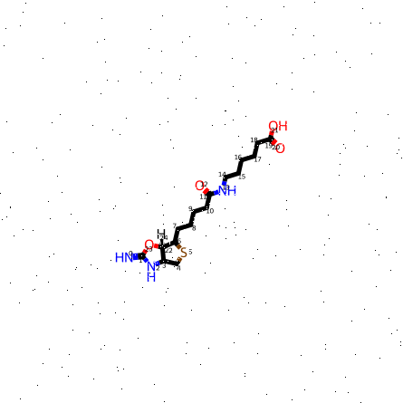 N=C1NC2CSC(CCCCC(=O)NCCCCCC(=O)O)[C@H]2O1